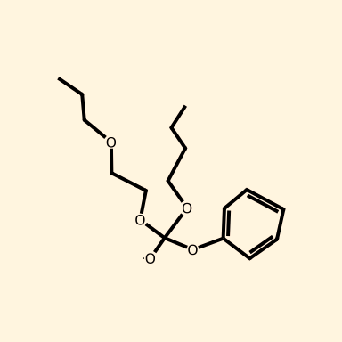 CCCCOC([O])(OCCOCCC)Oc1ccccc1